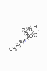 CN1CC(=O)OB(C/C=C/CCCCCl)OC(=O)C1